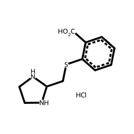 Cl.O=C(O)c1ccccc1SCC1NCCN1